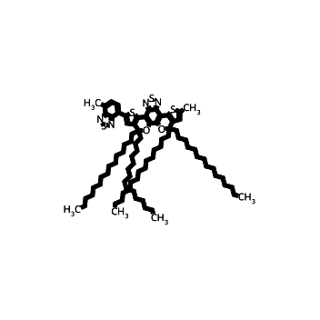 CCCCCCCCCCCCCCCC1(CCCCCCCCCCCCCCC)Oc2c3c(c4nsnc4c2-c2sc(C)cc21)-c1sc(-c2ccc(C)c4nsnc24)cc1C(CCCCCCCCCCCCCCC)(CCCCCCCCCCCCCCC)O3